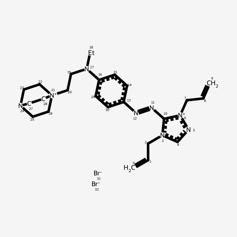 C=CCn1cn[n+](CC=C)c1/N=N/c1ccc(N(CC)CC[N+]23CCN(CC2)CC3)cc1.[Br-].[Br-]